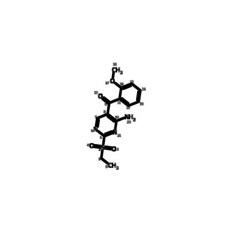 CCS(=O)(=O)c1ncc(C(=O)c2ccccc2OC)c(N)n1